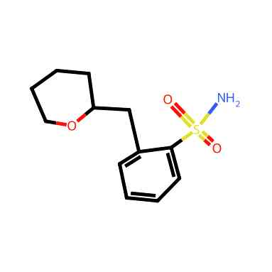 NS(=O)(=O)c1ccccc1CC1CCCCO1